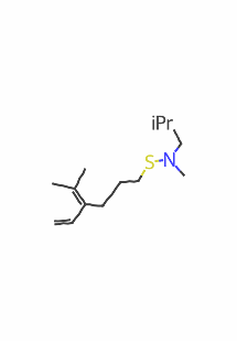 C=CC(CCCSN(C)CC(C)C)=C(C)C